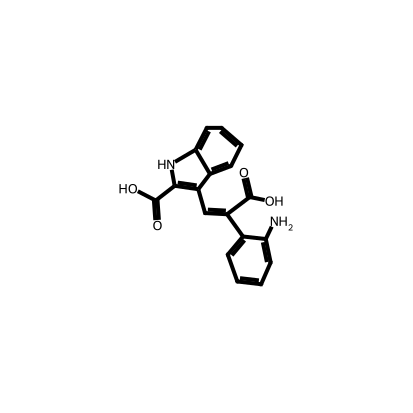 Nc1ccccc1C(=Cc1c(C(=O)O)[nH]c2ccccc12)C(=O)O